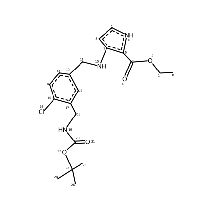 CCOC(=O)c1[nH]ccc1NCc1ccc(Cl)c(CNC(=O)OC(C)(C)C)c1